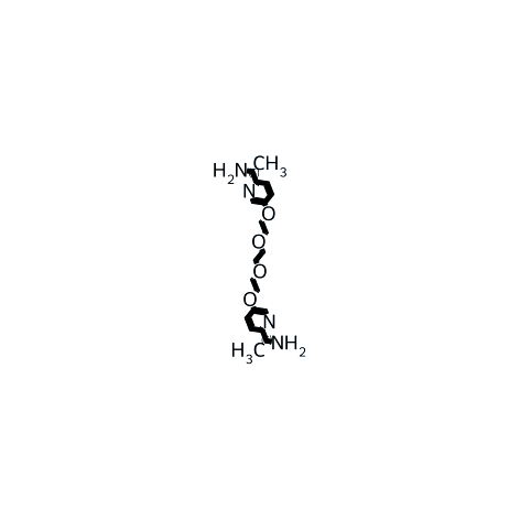 C[C@H](N)c1ccc(OCCOCCOCCOc2ccc([C@H](C)N)nc2)cn1